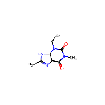 CC1=NC2C(=O)N(C)C(=O)N(CC(C)C)C2N1